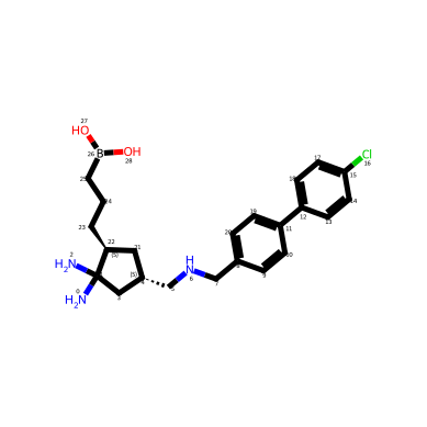 NC1(N)C[C@@H](CNCc2ccc(-c3ccc(Cl)cc3)cc2)C[C@@H]1CCCB(O)O